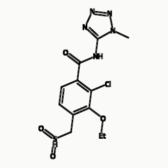 CCOc1c(C[SH](=O)=O)ccc(C(=O)Nc2nnnn2C)c1Cl